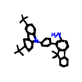 CC(C)(C)c1ccc2c(c1)c1cc(C(C)(C)C)ccc1n2-c1ccc(-c2c(N)ccc3c2C(C)(C)c2ccccc2-3)cc1